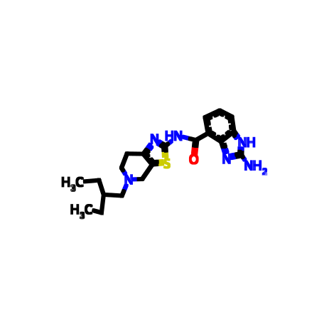 CCC(CC)CN1CCc2nc(NC(=O)c3cccc4[nH]c(N)nc34)sc2C1